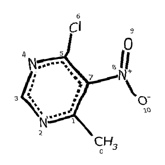 Cc1ncnc(Cl)c1[N+](=O)[O-]